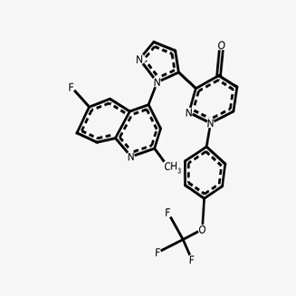 Cc1cc(-n2nccc2-c2nn(-c3ccc(OC(F)(F)F)cc3)ccc2=O)c2cc(F)ccc2n1